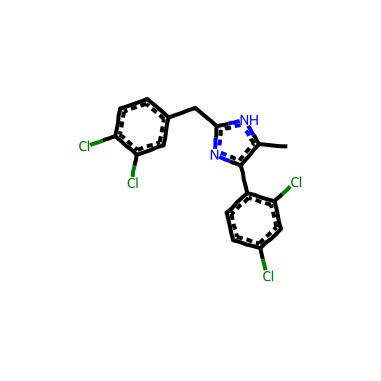 Cc1[nH]c(Cc2ccc(Cl)c(Cl)c2)nc1-c1ccc(Cl)cc1Cl